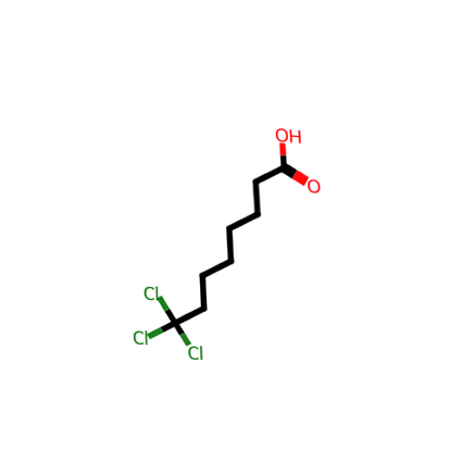 O=C(O)CCCCCCC(Cl)(Cl)Cl